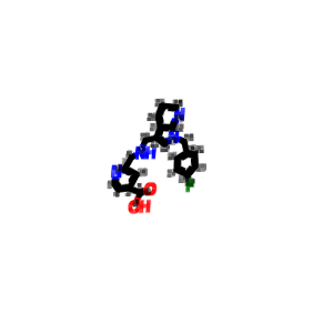 O=C(O)c1ccnc(CNCc2cn(Cc3ccc(F)cc3)c3ncccc23)c1